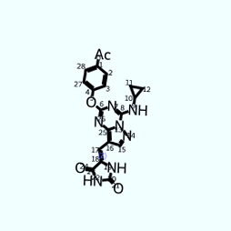 CC(=O)c1ccc(Oc2nc(NC3CC3)n3ncc(/C=C4\NC(=O)NC4=O)c3n2)cc1